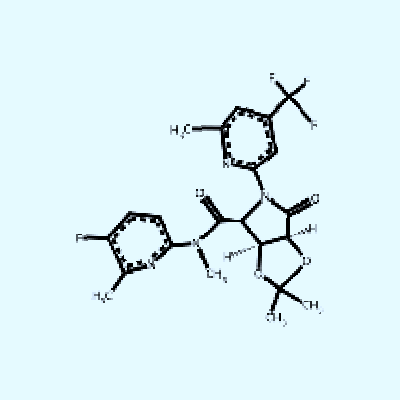 Cc1cc(C(F)(F)F)cc(N2C(=O)[C@H]3OC(C)(C)O[C@H]3[C@H]2C(=O)N(C)c2ccc(F)c(C)n2)n1